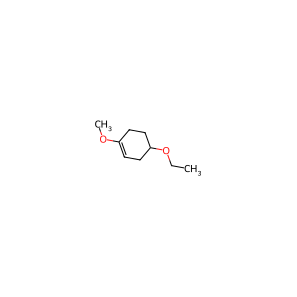 CCOC1CC=C(OC)CC1